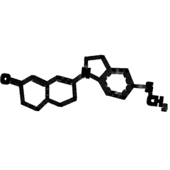 CSc1ccc2c(c1)CCN2C1=CC2=CC(=O)CCC2CC1